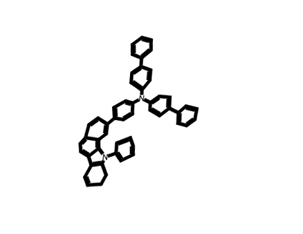 C1=Cc2c(n(-c3ccccc3)c3c2ccc2ccc(-c4ccc(N(c5ccc(-c6ccccc6)cc5)c5ccc(-c6ccccc6)cc5)cc4)cc23)CC1